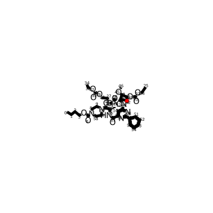 CCCCOC(=O)N1CCN(C(=O)[C@H](CP(=O)(OCCOC(=O)OCC)OCCOC(=O)OCC)NC(=O)c2cc(N3CC[C@H](OC)C3)nc(-c3ccccc3)n2)CC1